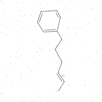 [CH2]/C=C/CCCc1ccccc1